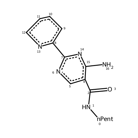 CCCCCNC(=O)c1cnc(-c2ccccn2)nc1N